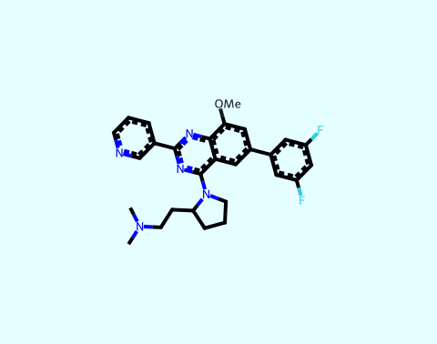 COc1cc(-c2cc(F)cc(F)c2)cc2c(N3CCCC3CCN(C)C)nc(-c3cccnc3)nc12